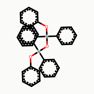 c1ccc(O[Si](O[Si](Oc2ccccc2)(c2ccccc2)c2ccccc2)(c2ccccc2)c2ccccc2)cc1